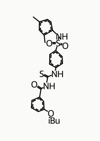 CCC(C)Oc1cccc(C(=O)NC(=S)Nc2ccc(S(=O)(=O)Nc3ccc(C)cc3C)cc2)c1